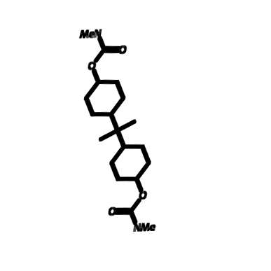 CNC(=O)OC1CCC(C(C)(C)C2CCC(OC(=O)NC)CC2)CC1